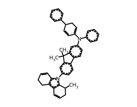 CC1CC=Cc2c3c(n(-c4ccc5c(c4)C(C)(C)c4cc(N(C6=CCC(c7ccccc7)C=C6)c6ccccc6)ccc4-5)c21)C=CCC3